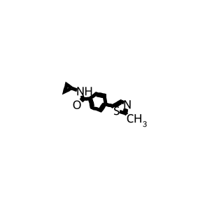 Cc1ncc(-c2ccc(C(=O)NC3CC3)cc2)s1